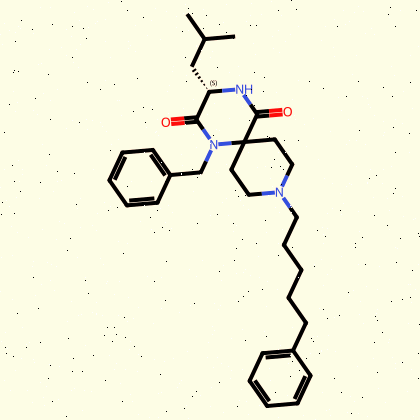 CC(C)C[C@@H]1NC(=O)C2(CCN(CCCCCc3ccccc3)CC2)N(Cc2ccccc2)C1=O